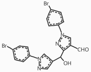 O=Cc1cn(-c2ccc(Br)cc2)nc1C(O)c1cnn(-c2ccc(Br)cc2)c1